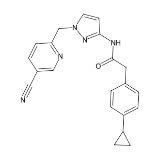 N#Cc1ccc(Cn2ccc(NC(=O)Cc3ccc(C4CC4)cc3)n2)nc1